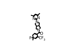 Cc1cc(C)nc(N2CC3CN(C(=O)C4=CCC(C)(F)C=C4C(F)(F)F)CC3C2)n1